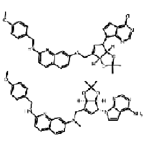 COc1ccc(CNc2ccc3ccc(N(C)CC4=C[C@@H](n5ccc6c(N)ncnc65)[C@@H]5OC(C)(C)O[C@H]45)cc3n2)cc1.COc1ccc(CNc2ccc3ccc(SCC4=C[C@@H](n5ccc6c(Cl)ncnc65)[C@@H]5OC(C)(C)O[C@H]45)cc3n2)cc1